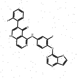 O=c1c(-c2ccccc2F)c[nH]c2ccnc(Nc3ccc(Oc4ncnc5ccsc45)c(F)c3)c12